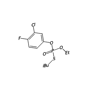 CCOP(=O)(Oc1ccc(F)c(Cl)c1)SC(C)CC